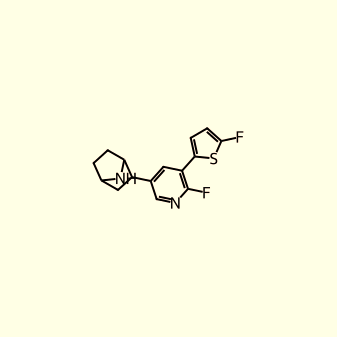 Fc1ccc(-c2cc(C3CC4CCC3N4)cnc2F)s1